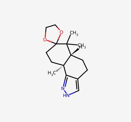 CC1(C)[C@@H]2CCc3c[nH]nc3[C@@]2(C)CCC12OCCO2